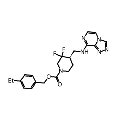 CCc1ccc(COC(=O)N2CC[C@H](CNc3nccn4cnnc34)C(F)(F)C2)cc1